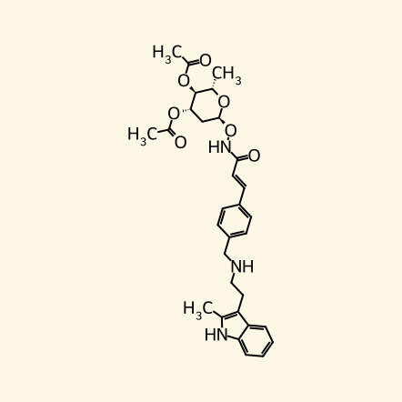 CC(=O)O[C@H]1[C@H](C)O[C@@H](ONC(=O)/C=C/c2ccc(CNCCc3c(C)[nH]c4ccccc34)cc2)C[C@@H]1OC(C)=O